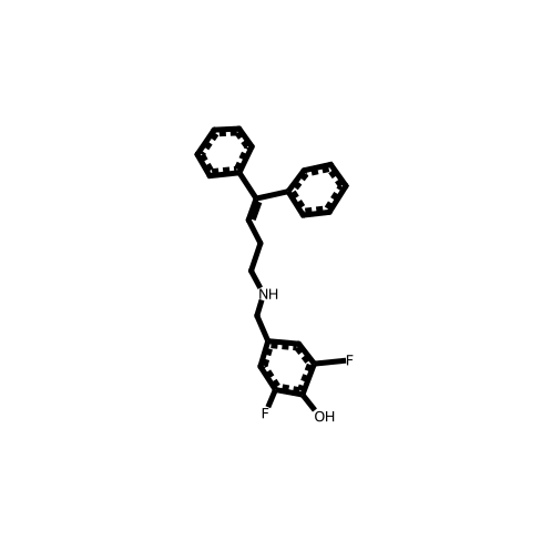 Oc1c(F)cc(CNCCC=C(c2ccccc2)c2ccccc2)cc1F